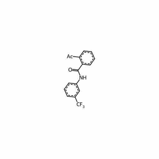 CC(=O)c1ccccc1C(=O)Nc1cccc(C(F)(F)F)c1